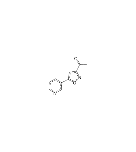 CC(=O)c1cc(-c2cccnc2)on1